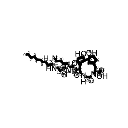 CCCCCCCCCCNCCS(=O)(=O)N[C@@H](CCCCN)C(=O)N(C)[C@@H]1C(=O)N[C@@H](C)C(=O)N[C@H](C(=O)O)Cc2ccc(O)c(c2)-c2cc1ccc2O